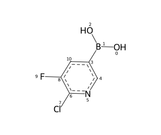 OB(O)c1cnc(Cl)c(F)c1